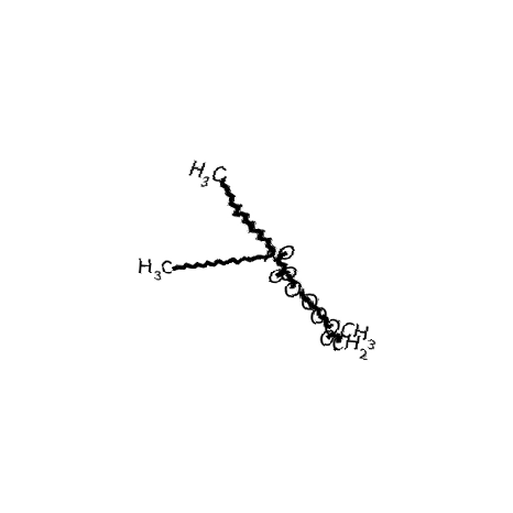 C=C(C)C(=O)OCCOCCOCCOCCOC(=O)CCC(=O)N(CCCCCCCCCCCCCCCCCC)CCCCCCCCCCCCCCCCCC